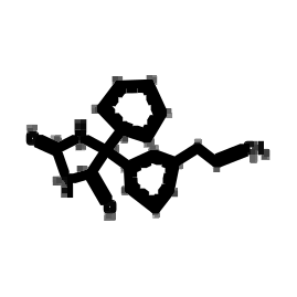 C=CCc1cccc(C2(c3ccccc3)NC(=O)NC2=O)c1